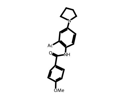 COc1ccc(C(=O)Nc2ccc(N3CCCC3)cc2C(C)=O)cc1